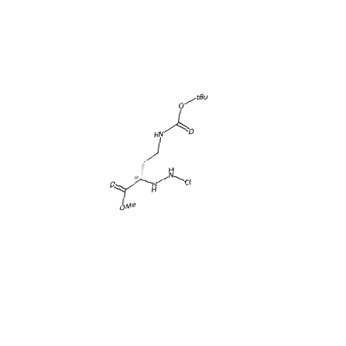 COC(=O)[C@H](CCNC(=O)OC(C)(C)C)NNCl